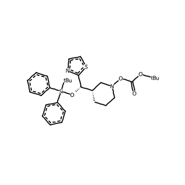 CC(C)(C)OC(=O)ON1CCC[C@H]([C@H](O[Si](c2ccccc2)(c2ccccc2)C(C)(C)C)c2nccs2)C1